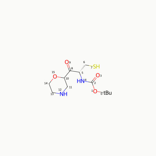 CC(C)(C)OC(=O)N[C@@H](CS)C(=O)C1CNCCO1